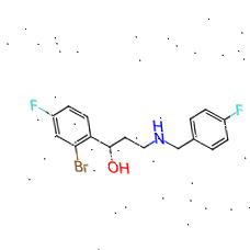 OC(CCNCc1ccc(F)cc1)c1ccc(F)cc1Br